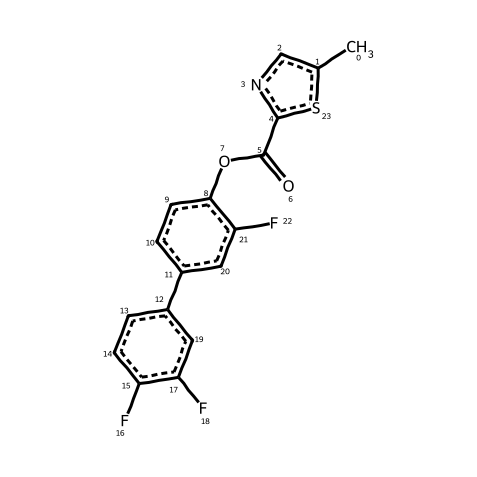 Cc1cnc(C(=O)Oc2ccc(-c3ccc(F)c(F)c3)cc2F)s1